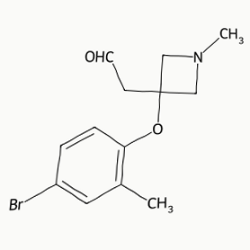 Cc1cc(Br)ccc1OC1(CC=O)CN(C)C1